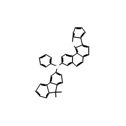 CC1(C)c2ccccc2-c2cc(N(c3ccccc3)c3ccc4c(ccc5ccc6c7ccccc7sc6c54)c3)ccc21